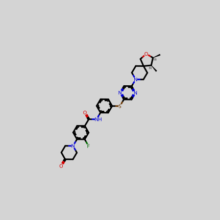 C[C@@H]1OCC2(CCN(c3cnc(Sc4cccc(NC(=O)c5ccc(N6CCC(=O)CC6)c(F)c5)c4)cn3)CC2)[C@@H]1C